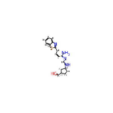 NC(/C=C\Cc1nc2ccccc2s1)=N/CNC1CCC(CO)C1